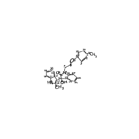 Cc1ccc(OCCN2C(=O)C(O)(c3c(C)[nH]c4ccccc34)c3ccccc32)cc1